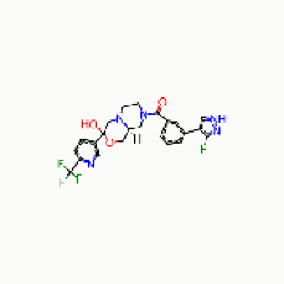 O=C(c1cccc(-c2c[nH]nc2F)c1)N1CCN2C[C@@](O)(c3ccc(C(F)(F)F)nc3)OC[C@@H]2C1